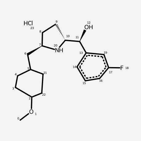 COC1CCC(C[C@H]2CC[C@H]([C@@H](O)c3cccc(F)c3)N2)CC1.Cl